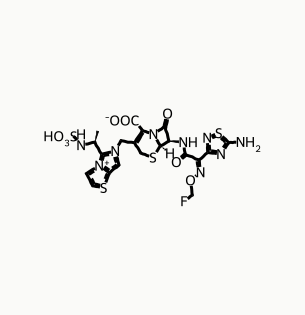 C[C@H](NS(=O)(=O)O)c1n(CC2=C(C(=O)[O-])N3C(=O)[C@@H](NC(=O)/C(=N\OCF)c4nsc(N)n4)[C@H]3SC2)cc2scc[n+]12